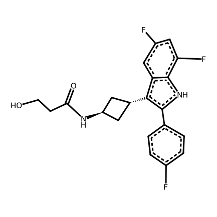 O=C(CCO)N[C@H]1C[C@H](c2c(-c3ccc(F)cc3)[nH]c3c(F)cc(F)cc32)C1